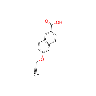 C#CCOc1ccc2cc(C(=O)O)ccc2c1